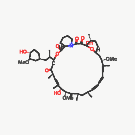 C=C1[C@H](C)C[C@H](C)/C=C/C=C/C=C(\C)[C@@H](OC)C[C@@H]2CC[C@@H](C)[C@@](O)(O2)C(=O)C(=O)N2CCCC[C@H]2C(=O)O[C@H]([C@H](C)C[C@@H]2CC[C@@H](O)[C@H](OC)C2)CC(=O)[C@H](C)/C=C(\C)[C@@H](O)[C@H]1OC